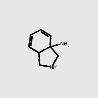 NC12C=CC=CC1CNC2